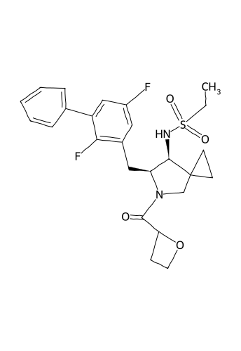 CCS(=O)(=O)N[C@@H]1[C@H](Cc2cc(F)cc(-c3ccccc3)c2F)N(C(=O)C2CCO2)CC12CC2